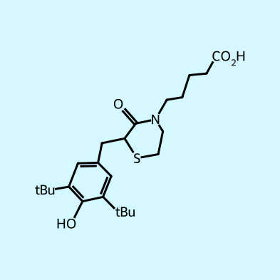 CC(C)(C)c1cc(CC2SCCN(CCCCC(=O)O)C2=O)cc(C(C)(C)C)c1O